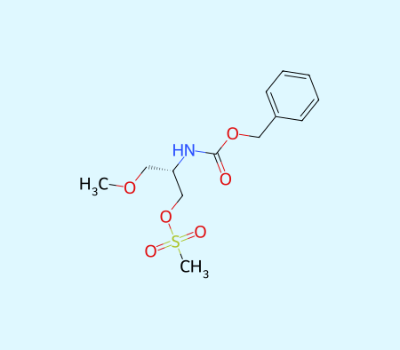 COC[C@@H](COS(C)(=O)=O)NC(=O)OCc1ccccc1